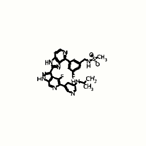 CC(C)Nc1cncc(-c2ncc3[nH]nc(-c4nc5c(-c6cc(F)cc(CNS(C)(=O)=O)c6)nccc5[nH]4)c3c2F)c1